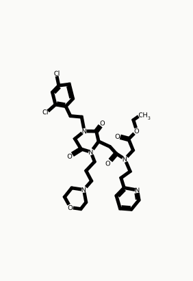 CCOC(=O)CN(CCc1ccccn1)C(=O)CC1C(=O)N(CCc2ccc(Cl)cc2Cl)CC(=O)N1CCCN1CCOCC1